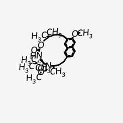 COCN1C(=O)[C@H](C(C)(C)C)NC(=O)OCC(C)(C)CCCc2cc3cc(ccc3cc2OC)CC[C@H]1C